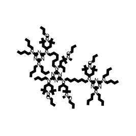 CCCCN(CCCC)c1nc(N(CCCC)CCCC)nc(N(CCCCCCN(c2nc(N(CCCCCCN(c3nc(N(CCCC)CCCC)nc(N(CCCC)CCCC)n3)C3CC(C)(C)N(OCCC)C(C)(C)C3)C(CC)CC(C)(C)N(C)OCCC)nc(N(CCCC)C3CC(C)(C)N(OCCC)C(C)(C)C3)n2)C(CC)CC(C)(C)N(C)OCCC)C2CC(C)(C)N(OCCC)C(C)(C)C2)n1